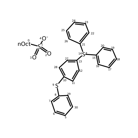 CCCCCCCCS(=O)(=O)[O-].c1ccc(Sc2ccc([S+](c3ccccc3)c3ccccc3)cc2)cc1